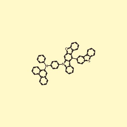 c1ccc(N(c2ccc(-n3c4ccccc4c4c(-c5ccc6sc7ccccc7c6c5)c5c(cc43)oc3ccccc35)cc2)c2cc3ccccc3c3ccccc23)cc1